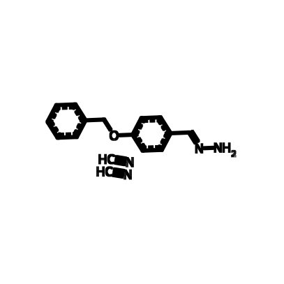 C#N.C#N.NN=Cc1ccc(OCc2ccccc2)cc1